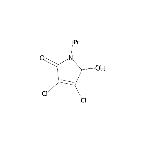 CC(C)N1C(=O)C(Cl)=C(Cl)C1O